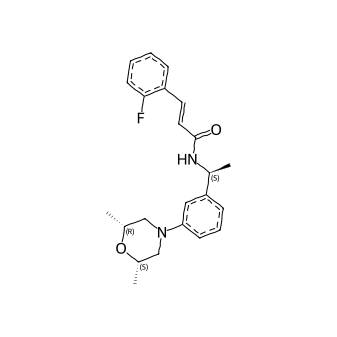 C[C@@H]1CN(c2cccc([C@H](C)NC(=O)C=Cc3ccccc3F)c2)C[C@H](C)O1